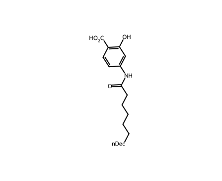 CCCCCCCCCCCCCCCC(=O)Nc1ccc(C(=O)O)c(O)c1